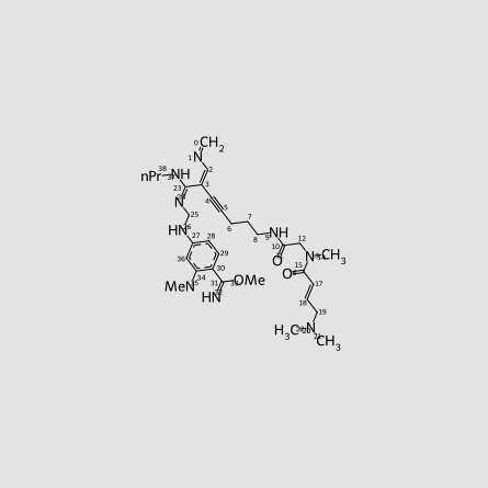 C=N/C=C(C#CCCCNC(=O)CN(C)C(=O)/C=C/CN(C)C)\C(=N/CNc1ccc(C(=N)OC)c(NC)c1)NCCC